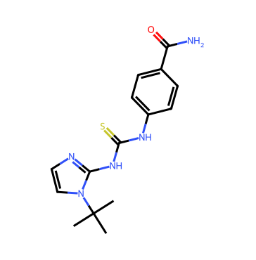 CC(C)(C)n1ccnc1NC(=S)Nc1ccc(C(N)=O)cc1